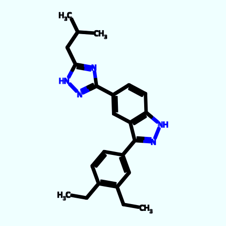 CCc1ccc(-c2n[nH]c3ccc(-c4n[nH]c(CC(C)C)n4)cc23)cc1CC